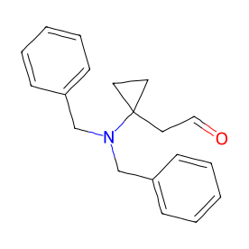 O=CCC1(N(Cc2ccccc2)Cc2ccccc2)CC1